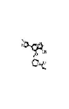 C=CC(=O)N1CCC[C@@H](COc2cc(-c3cnn(C)c3)cn3ncc(C#N)c23)C1